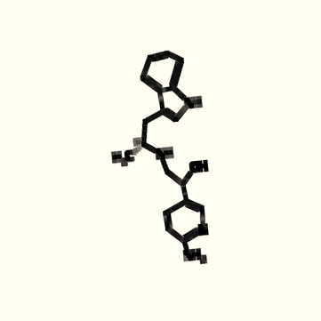 C[C@H](Cc1c[nH]c2ccccc12)NCC(O)c1ccc(N)nc1